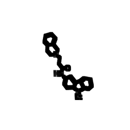 CCn1c2ccccc2c2cc(NC(=O)CCN3CCc4ccccc4C3)ccc21